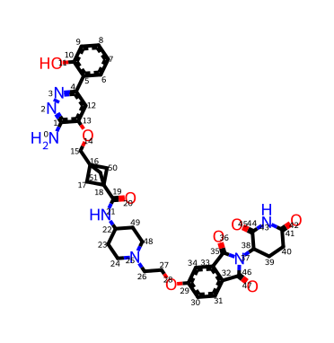 Nc1nnc(-c2ccccc2O)cc1OCC12CC(C(=O)NC3CCN(CCOc4ccc5c(c4)C(=O)N(C4CCC(=O)NC4=O)C5=O)CC3)(C1)C2